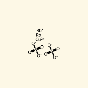 O=S(=O)([O-])[O-].O=S(=O)([O-])[O-].[Cu+2].[Rb+].[Rb+]